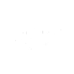 CC(O)C(=O)O.CC1CCC(C(C)C)C(C(C)(O)C(=O)O)C1